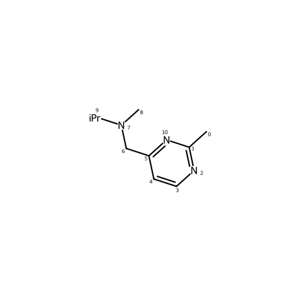 Cc1nccc(CN(C)C(C)C)n1